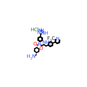 Cl.NC[C@H]1CC[C@H](C(=O)N(C(=O)[C@@H](N)Cc2ccc(-c3cccnc3C(F)(F)F)cc2)c2ccc(-c3nnn[nH]3)cc2)CC1